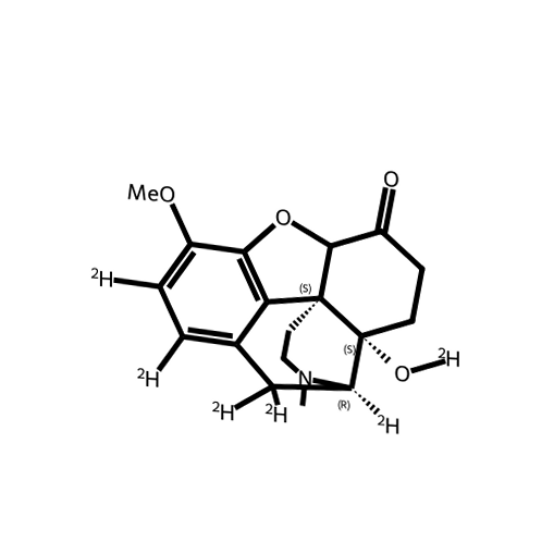 [2H]O[C@@]12CCC(=O)C3Oc4c(OC)c([2H])c([2H])c5c4[C@@]31CCN(C)[C@]2([2H])C5([2H])[2H]